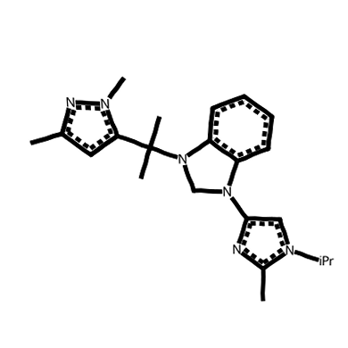 Cc1cc(C(C)(C)N2CN(c3cn(C(C)C)c(C)n3)c3ccccc32)n(C)n1